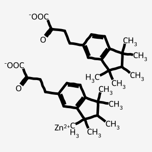 CC1C(C)(C)c2ccc(CCC(=O)C(=O)[O-])cc2C1(C)C.CC1C(C)(C)c2ccc(CCC(=O)C(=O)[O-])cc2C1(C)C.[Zn+2]